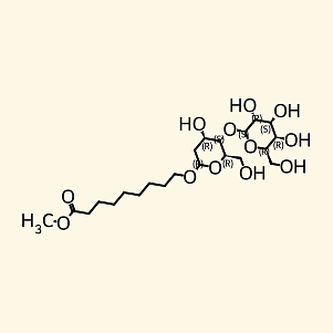 COC(=O)CCCCCCCCO[C@H]1C[C@@H](O)[C@H](O[C@@H]2O[C@H](CO)[C@H](O)[C@H](O)[C@H]2O)[C@@H](CO)O1